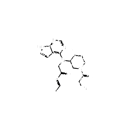 C/C=C/C(=O)CN(c1ncnc2[nH]ccc12)C1CN(C(=O)CC#N)CC[C@H]1C